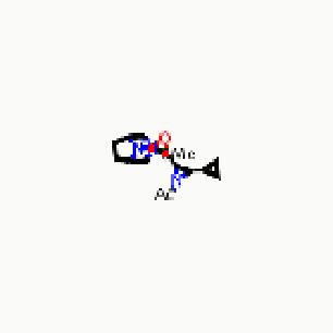 CSN1CC2CCC(C1)N2C1OC1[C@H]1[C@@H](C2CC2)N1C(C)=O